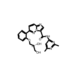 Cc1cc(NC(=O)c2cnc3ccc(-c4ccccc4OC[C@H](O)CO)nn23)nc(C)n1